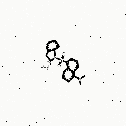 CN(C)c1cccc2c(S(=O)(=O)N3c4ccccc4C[C@H]3C(=O)O)cccc12